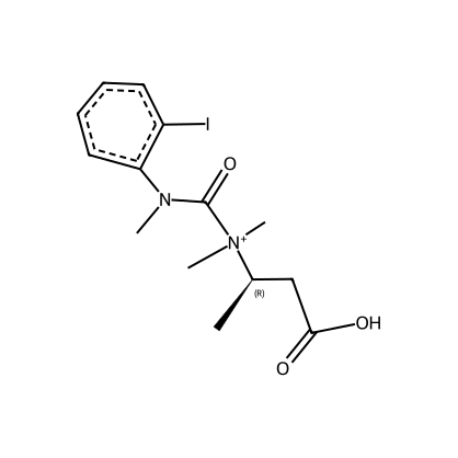 C[C@H](CC(=O)O)[N+](C)(C)C(=O)N(C)c1ccccc1I